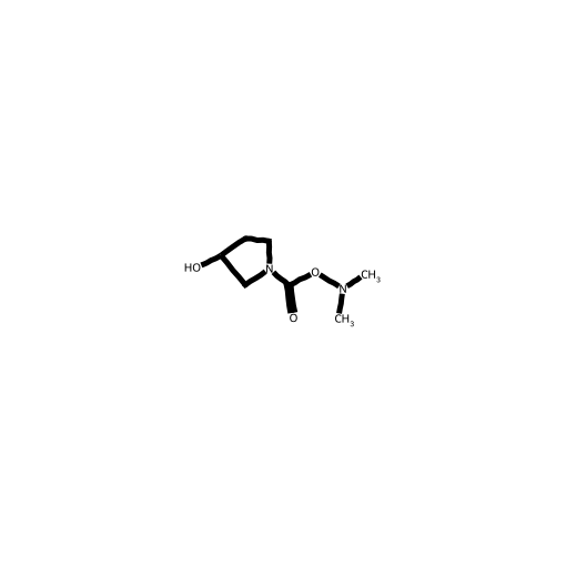 CN(C)OC(=O)N1CCC(O)C1